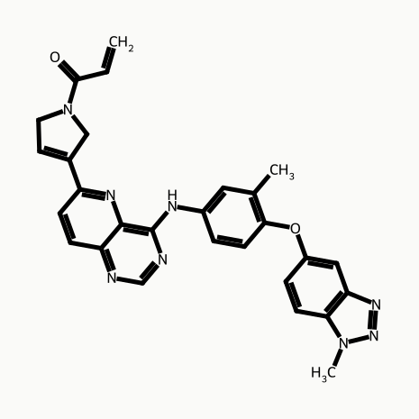 C=CC(=O)N1CC=C(c2ccc3ncnc(Nc4ccc(Oc5ccc6c(c5)nnn6C)c(C)c4)c3n2)C1